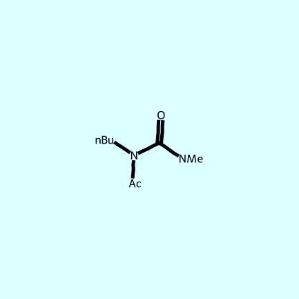 CCCCN(C(C)=O)C(=O)NC